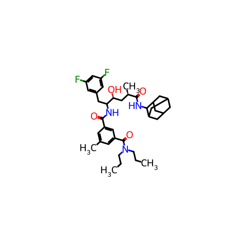 CCCN(CCC)C(=O)c1cc(C)cc(C(=O)NC(Cc2cc(F)cc(F)c2)[C@@H](O)C[C@@H](C)C(=O)NC2C3CC4CC(C3)CC2C4)c1